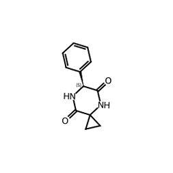 O=C1NC2(CC2)C(=O)N[C@H]1c1ccccc1